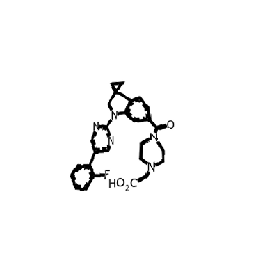 O=C(O)CN1CCN(C(=O)c2ccc3c(c2)N(c2ncc(-c4ccccc4F)cn2)CC32CC2)CC1